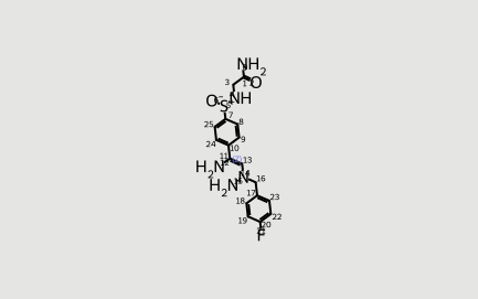 NC(=O)CN[S+]([O-])c1ccc(/C(N)=C/N(N)Cc2ccc(F)cc2)cc1